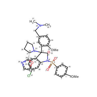 COc1ccc(S(=O)(=O)N2C(=O)C(c3cc(CN(C)C)ccc3OC)(N3CCC[C@H]3c3ncco3)c3ccc(Cl)cc32)cc1